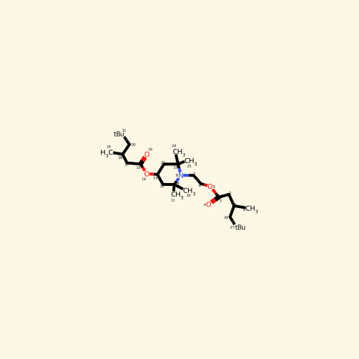 CC(CC(=O)OCCN1C(C)(C)CC(OC(=O)CC(C)CC(C)(C)C)CC1(C)C)CC(C)(C)C